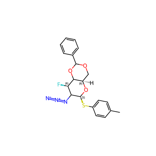 Cc1ccc(S[C@@H]2O[C@@H]3COC(c4ccccc4)OC3[C@H](F)C2N=[N+]=[N-])cc1